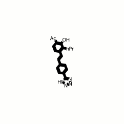 CCCc1c(C=Cc2ccc(-c3nnn[nH]3)cc2)ccc(C(C)=O)c1O